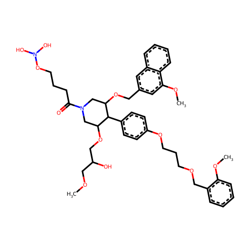 COCC(O)COC1CN(C(=O)CCCON(O)O)CC(OCc2cc(OC)c3ccccc3c2)C1c1ccc(OCCCOCc2ccccc2OC)cc1